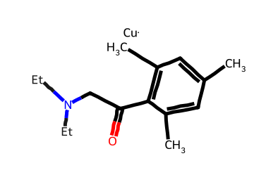 CCN(CC)CC(=O)c1c(C)cc(C)cc1C.[Cu]